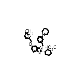 Cn1ccc(COc2ccc3nc([C@H]4CCCC[C@H]4C(=O)O)n(Cc4cccc(N5CCCCC5)c4)c3c2)n1